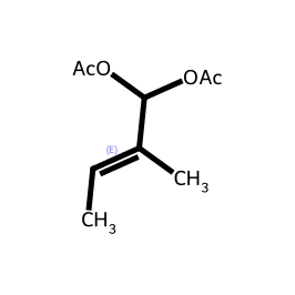 C/C=C(\C)C(OC(C)=O)OC(C)=O